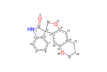 O=C1Nc2ccccc2C12COc1cc3c(cc12)OCCC3